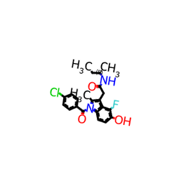 CC[C@H](C)NC(=O)Cc1c(C)n(C(=O)c2ccc(Cl)cc2)c2ccc(O)c(F)c12